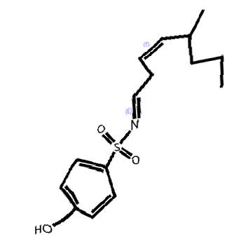 CCCC(C)/C=C\C/C=N/S(=O)(=O)c1ccc(O)cc1